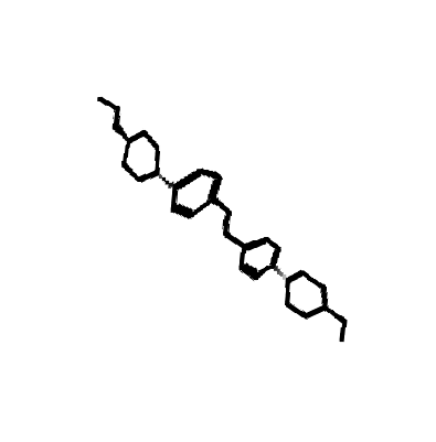 CCC[C@H]1CC[C@H](c2ccc(CCc3ccc([C@H]4CC[C@H](CC)CC4)cc3)cc2)CC1